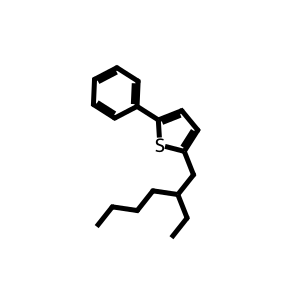 CCCCC(CC)Cc1ccc(-c2ccccc2)s1